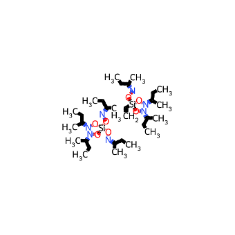 C=C[Si](ON=C(C)CC)(ON=C(C)CC)ON=C(C)CC.CCC(C)=NO[Si](ON=C(C)CC)(ON=C(C)CC)ON=C(C)CC